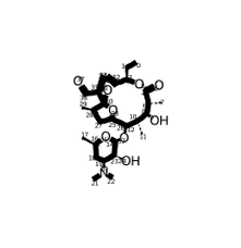 CC[C@H]1OC(=O)[C@H](C)[C@@H](O)[C@H](C)[C@@H](O[C@@H]2O[C@H](C)C[C@H](N(C)C)[C@H]2O)[C@@]2(C)C[C@@H](C)C3(OC1(C)C=C3C=O)O2